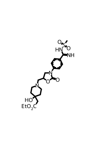 CCOC(=O)CC1(O)CCN(CC2CN(c3ccc(C(=N)NS(C)(=O)=O)cc3)C(=O)O2)CC1